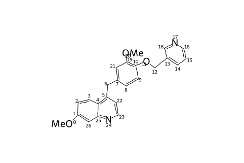 COc1ccc2c(Cc3ccc(OCc4cccnc4)c(OC)c3)ccnc2c1